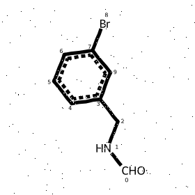 O=[C]NCc1cccc(Br)c1